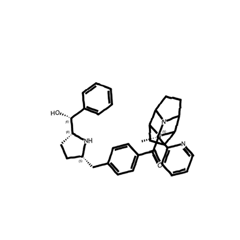 C[C@@H](c1ccccn1)N1C2CCC1C1CCC2N1C(=O)c1ccc(C[C@@H]2CC[C@H]([C@H](O)c3ccccc3)N2)cc1